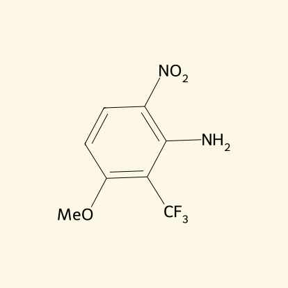 COc1ccc([N+](=O)[O-])c(N)c1C(F)(F)F